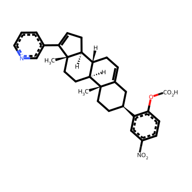 C[C@]12CC[C@H](c3cc([N+](=O)[O-])ccc3OC(=O)O)CC1=CC[C@@H]1[C@@H]2CC[C@]2(C)C(c3cccnc3)=CC[C@@H]12